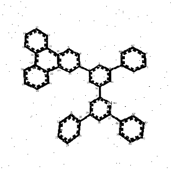 c1ccc(-c2cc(-c3ccc4c5ccccc5c5ccccc5c4c3)cc(-c3cc(-c4ccccc4)cc(-c4ccccc4)n3)c2)cc1